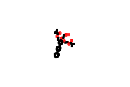 C=C(C)C(=O)OCCOc1cc(-c2ccc(C3CCCCC3)cc2)cc(CCOC(=O)C(=C)C)c1OCCO